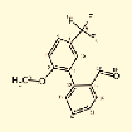 COc1ccc(C(F)(F)F)cc1-c1ccccc1C=O